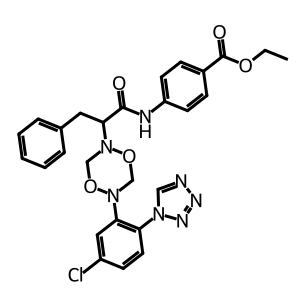 CCOC(=O)c1ccc(NC(=O)C(Cc2ccccc2)N2CON(c3cc(Cl)ccc3-n3cnnn3)CO2)cc1